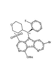 COc1ncc(S(C)(=O)=O)c2c1c1ncc(Br)cc1n2[C@H](c1ccccc1F)C1CCOCC1